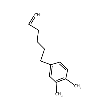 [CH]=CCCCCc1ccc(C)c(C)c1